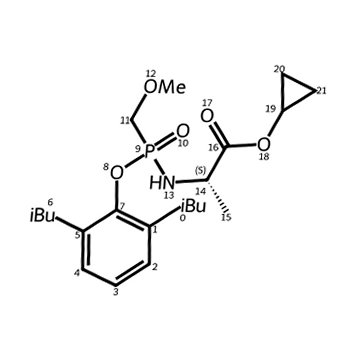 CCC(C)c1cccc(C(C)CC)c1OP(=O)(COC)N[C@@H](C)C(=O)OC1CC1